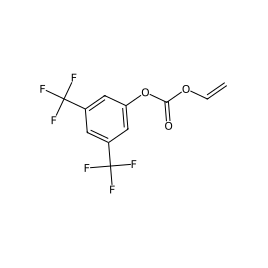 C=COC(=O)Oc1cc(C(F)(F)F)cc(C(F)(F)F)c1